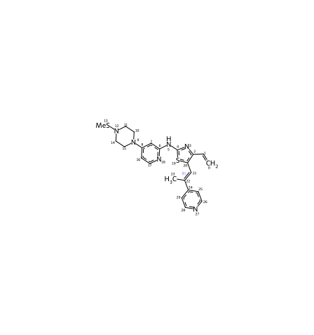 C=Cc1nc(Nc2cc(N3CCN(SC)CC3)ccn2)sc1/C=C(\C)c1ccncc1